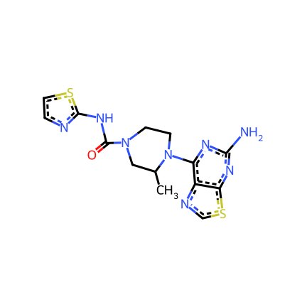 CC1CN(C(=O)Nc2nccs2)CCN1c1nc(N)nc2scnc12